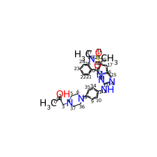 C[C@@H](O)CN1CCN(c2ccc(Nc3ncc4ccc(-c5ccccc5N(C)S(C)(=O)=O)n4n3)cc2)CC1